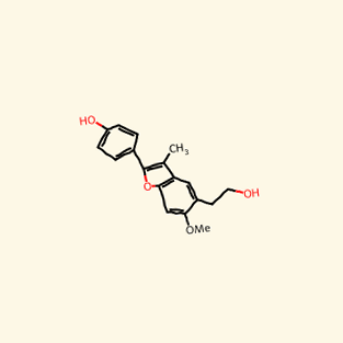 COc1cc2oc(-c3ccc(O)cc3)c(C)c2cc1CCO